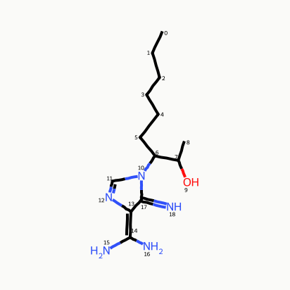 CCCCCCC(C(C)O)N1C=NC(=C(N)N)C1=N